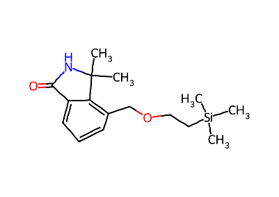 CC1(C)NC(=O)c2cccc(COCC[Si](C)(C)C)c21